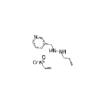 C=CCNNCc1cccnc1.C=C[N+](=O)[O-]